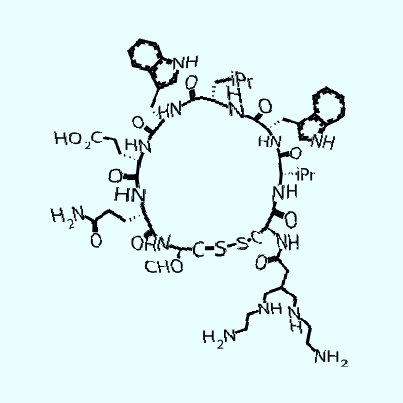 CC(C)C[C@@H]1NC(=O)[C@H](Cc2c[nH]c3ccccc23)NC(=O)[C@H](C(C)C)NC(=O)[C@@H](NC(=O)CC(CNCCN)CNCCN)CSSC[C@@H](C=O)NC(=O)[C@H](CCC(N)=O)NC(=O)[C@H](CCC(=O)O)NC(=O)[C@H](Cc2c[nH]c3ccccc23)NC1=O